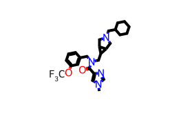 Cn1cnc(C(=O)N(Cc2cccc(OC(F)(F)F)c2)CC2C3CN(CC4CCCCC4)CC32)c1